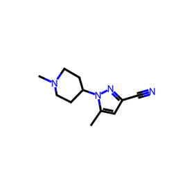 Cc1cc(C#N)nn1C1CCN(C)CC1